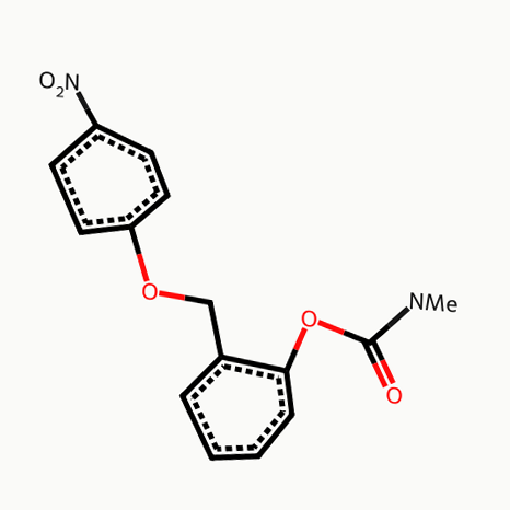 CNC(=O)Oc1ccccc1COc1ccc([N+](=O)[O-])cc1